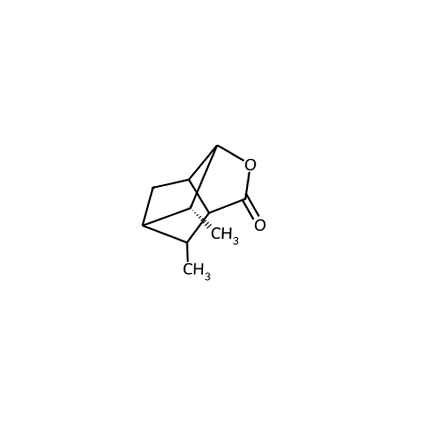 CC1C2C(=O)OC3C2CC1[C@H]3C